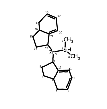 C[SiH](C)[Zr]([CH]1CCC2CC=CC=C21)[CH]1CCC2CC=CC=C21